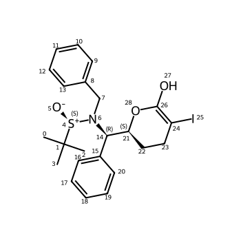 CC(C)(C)[S@@+]([O-])N(Cc1ccccc1)[C@H](c1ccccc1)[C@@H]1CCC(I)=C(O)O1